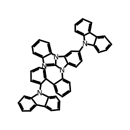 c1ccc(-n2c3ccccc3c3ccccc32)c(-c2ccccc2-n2c3ccc(-n4c5ccccc5c5ccccc54)cc3n3c4ccccc4nc23)c1